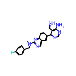 CN(Cc1ccc(F)cc1)c1ncc2cc(-c3ncnc(N)c3C=N)ccc2n1